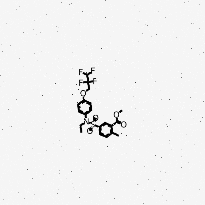 CCN(c1ccc(OCC(F)(F)C(F)F)cc1)S(=O)(=O)c1ccc(C)c(C(=O)OC)c1